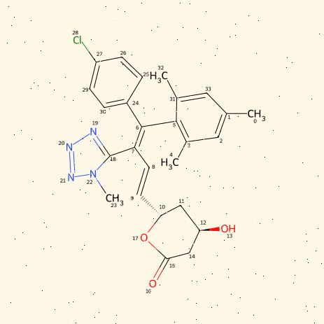 Cc1cc(C)c(C(=C(/C=C/[C@@H]2C[C@@H](O)CC(=O)O2)c2nnnn2C)c2ccc(Cl)cc2)c(C)c1